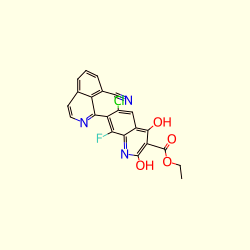 CCOC(=O)c1c(O)nc2c(F)c(-c3nccc4cccc(C#N)c34)c(Cl)cc2c1O